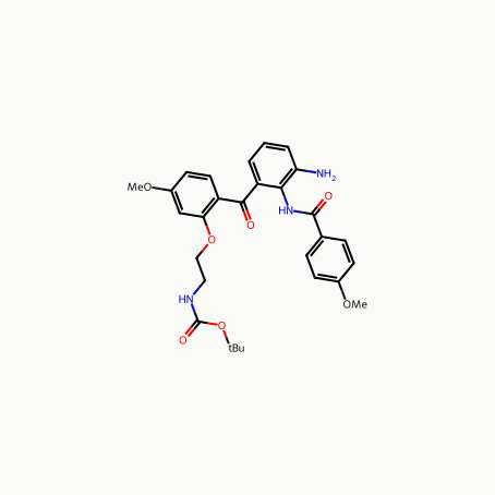 COc1ccc(C(=O)Nc2c(N)cccc2C(=O)c2ccc(OC)cc2OCCNC(=O)OC(C)(C)C)cc1